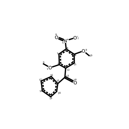 COc1cc([N+](=O)[O-])c(OC)cc1C(=O)c1ccccc1